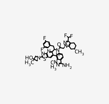 CC1CCc2c(C(F)F)nn(CC(=O)NC(Cc3cc(F)cc(F)c3)c3nc4nc(N5CC(C)(O)C5)sc4cc3-c3cccc4c(N)nn(C)c34)c2C1